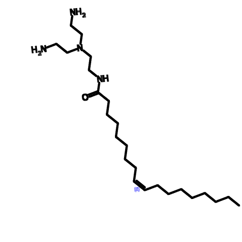 CCCCCCCC/C=C\CCCCCCCC(=O)NCCN(CCN)CCN